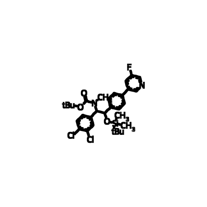 CN(C(=O)OC(C)(C)C)C(c1ccc(Cl)c(Cl)c1)C(O[Si](C)(C)C(C)(C)C)c1ccc(-c2cncc(F)c2)cc1